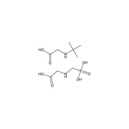 CC(C)(C)NCC(=O)O.O=C(O)CNCP(=O)(O)O